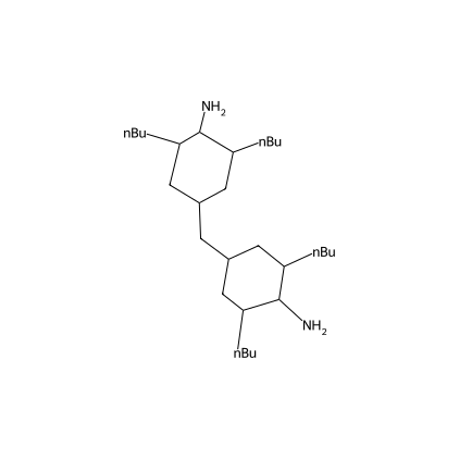 CCCCC1CC(CC2CC(CCCC)C(N)C(CCCC)C2)CC(CCCC)C1N